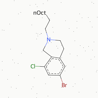 CCCCCCCCCCN1CCc2cc(Br)cc(Cl)c2C1